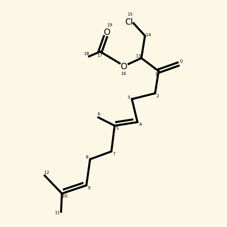 C=C(CC/C=C(\C)CCC=C(C)C)C(CCl)OC(C)=O